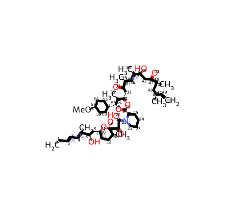 C=C/C=C/C=C(\C)[C@@H](O)C[C@@H]1CC[C@@H](C)[C@](O)(C(=O)C(=O)N2CCCC[C@H]2C(=O)O[C@@H](CC(=O)[C@H](C)/C=C(\C)[C@@H](O)CC(=O)[C@H](C)C[C@@H](C)C=C)[C@H](C)C[C@H]2CC[C@H](OC)CC2)O1